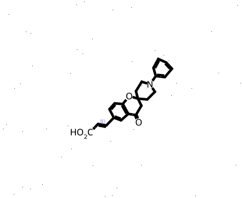 O=C(O)/C=C/c1ccc2c(c1)C(=O)CC1(CCN(c3ccccc3)CC1)O2